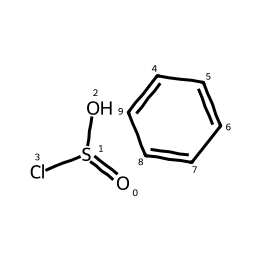 O=S(O)Cl.c1ccccc1